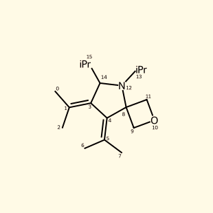 CC(C)=C1C(=C(C)C)C2(COC2)N(C(C)C)C1C(C)C